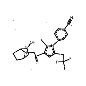 Cc1c(C(=O)CN2C3CCC2[C@@H](O)C3)cc(CC(F)(F)F)n1-c1ccc(C#N)cc1